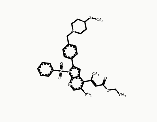 CCOC(=O)/C=C(\C)c1c(N)cnc2c1cc(-c1ccc(CN3CCC(SC)CC3)cc1)n2S(=O)(=O)c1ccccc1